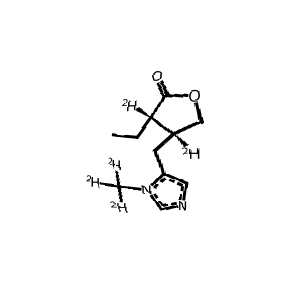 [2H]C([2H])([2H])n1cncc1C[C@@]1([2H])COC(=O)[C@@]1([2H])CC